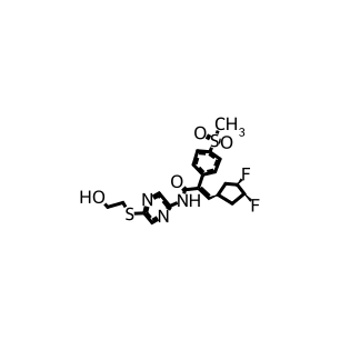 CS(=O)(=O)c1ccc(/C(=C\[C@H]2C[C@@H](F)[C@@H](F)C2)C(=O)Nc2cnc(SCCO)cn2)cc1